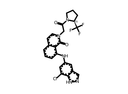 O=C(Cn1ccc2cccc(Nc3cc(Cl)c4[nH]ncc4c3)c2c1=O)N1CCC[C@H]1C(F)(F)F